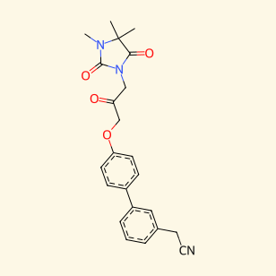 CN1C(=O)N(CC(=O)COc2ccc(-c3cccc(CC#N)c3)cc2)C(=O)C1(C)C